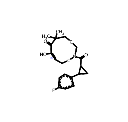 CC1(C)CCCN(C(=O)C2CC2c2ccc(F)cc2)CC/C=C(/C#N)C1=O